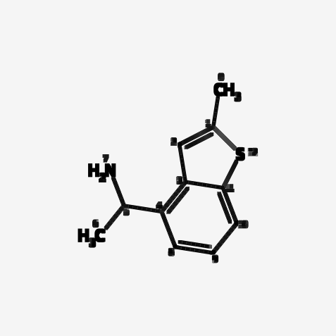 Cc1cc2c(C(C)N)cccc2s1